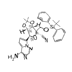 CC1(C)O[C@H]2[C@H](c3ccc4c(N)ncnn34)O[C@](C#N)(CO[Si](c3ccccc3)(c3ccccc3)C(C)(C)C)[C@H]2O1